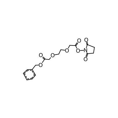 O=C(COCCOCC(=O)ON1C(=O)CCC1=O)OCc1ccccc1